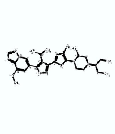 CCC(CC)N1CCN(c2sc(-c3n[nH]c(-c4cc(OC)c5ncnn5c4)c3C(C)C)nc2C)C(C)C1